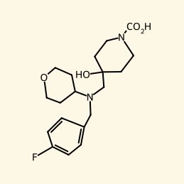 O=C(O)N1CCC(O)(CN(Cc2ccc(F)cc2)C2CCOCC2)CC1